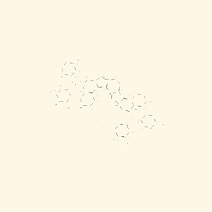 Cc1cc(N(c2cc(C)c(C)c(C)c2)c2cc3sc4c(ccc5sc6cc(N(c7cc(C)c(C)c(C)c7)c7cc(C)c(C)c(C)c7)c7ccccc7c6c54)c3c3ccccc23)cc(C)c1C